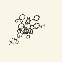 CC(c1ccc(Cl)cc1Cl)n1cnc(-c2ccccc2)c1-c1c(C(=O)N[C@H]2CN(C(=O)OC(C)(C)C)CC2N2CCC(N3CCCCC3=O)CC2)[nH]c2cc(Cl)ccc12